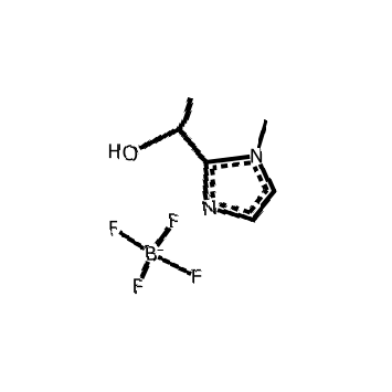 CC(O)c1nccn1C.F[B-](F)(F)F